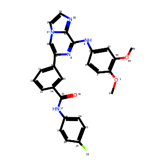 COc1ccc(Nc2nc(-c3cccc(C(=O)Nc4ccc(F)cc4)c3)cn3ccnc23)cc1OC